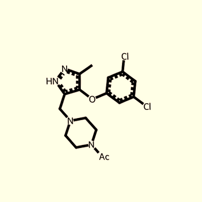 CC(=O)N1CCN(Cc2[nH]nc(C)c2Oc2cc(Cl)cc(Cl)c2)CC1